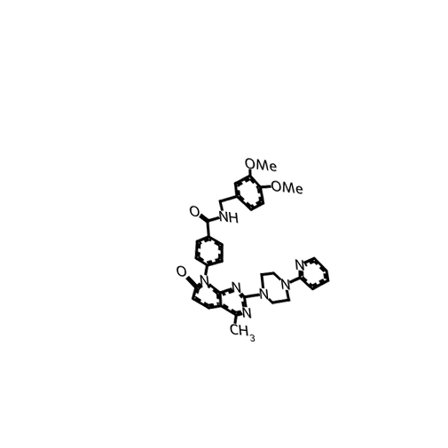 COc1ccc(CNC(=O)c2ccc(-n3c(=O)ccc4c(C)nc(N5CCN(c6ccccn6)CC5)nc43)cc2)cc1OC